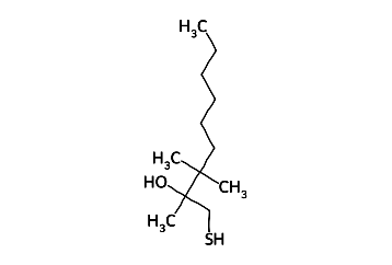 CCCCCCC(C)(C)C(C)(O)CS